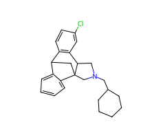 Clc1ccc2c(c1)C1CN(CC3CCCCC3)CC13CC2c1ccccc13